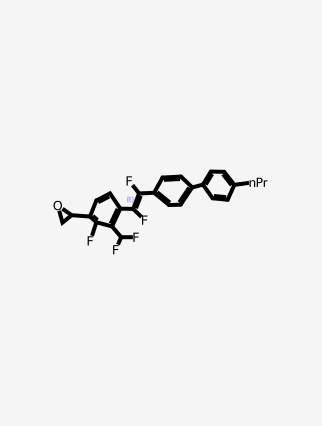 CCCc1ccc(-c2ccc(/C(F)=C(\F)c3ccc(C4CO4)c(F)c3C(F)F)cc2)cc1